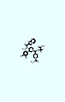 CC(=O)N1CCC(C(=O)N2CC[C@@H](N(C)C(=O)c3nc4ncccn4n3)[C@H](c3ccc(Cl)c(Cl)c3)C2)CC1.O=C(O)C(F)(F)F